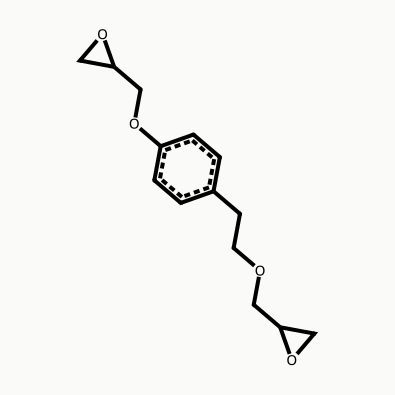 c1cc(OCC2CO2)ccc1CCOCC1CO1